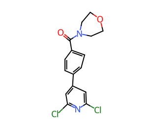 O=C(c1ccc(-c2cc(Cl)nc(Cl)c2)cc1)N1CCOCC1